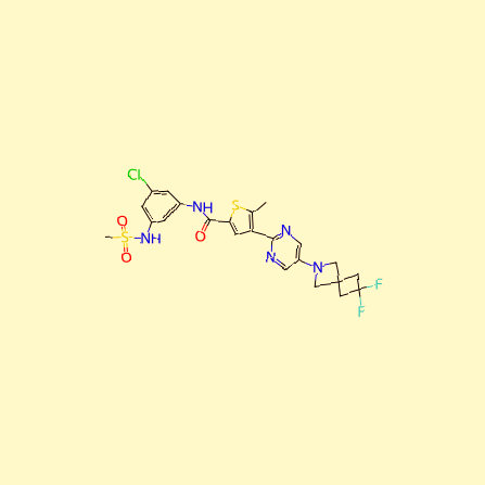 Cc1sc(C(=O)Nc2cc(Cl)cc(NS(C)(=O)=O)c2)cc1-c1ncc(N2CC3(C2)CC(F)(F)C3)cn1